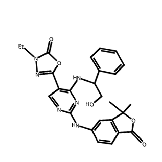 CCn1nc(-c2cnc(Nc3ccc4c(c3)C(C)(C)OC4=O)nc2NC(CO)c2ccccc2)oc1=O